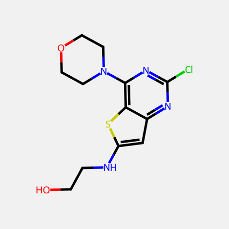 OCCNc1cc2nc(Cl)nc(N3CCOCC3)c2s1